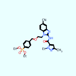 CCOP(=O)(OCC)c1ccc(COCCn2c(NC(=O)c3cc(C)nn3CC)nc3cc(C#N)ccc32)cc1